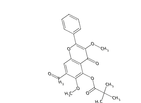 COc1c([PH2]=O)cc2oc(-c3ccccc3)c(OC)c(=O)c2c1OC(=O)C(C)(C)C